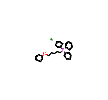 [Br-].c1ccc(OCCCCC[P+](c2ccccc2)(c2ccccc2)c2ccccc2)cc1